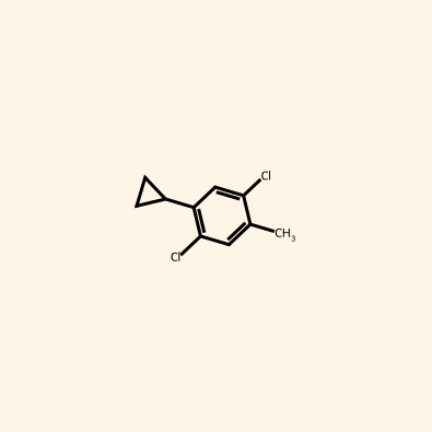 Cc1cc(Cl)c(C2CC2)cc1Cl